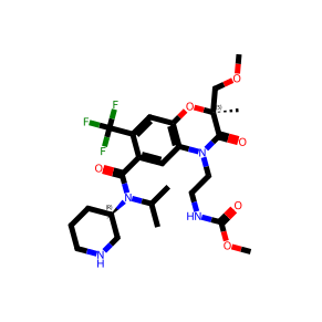 COC[C@]1(C)Oc2cc(C(F)(F)F)c(C(=O)N(C(C)C)[C@@H]3CCCNC3)cc2N(CCNC(=O)OC)C1=O